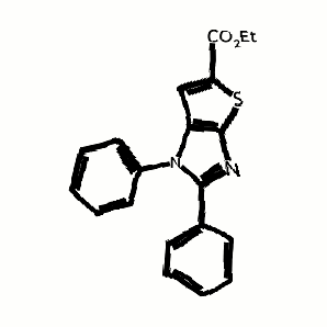 CCOC(=O)c1cc2c(nc(-c3ccccc3)n2-c2ccccc2)s1